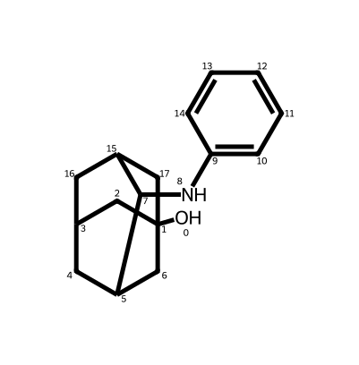 OC12CC3CC(C1)C(Nc1ccccc1)C(C3)C2